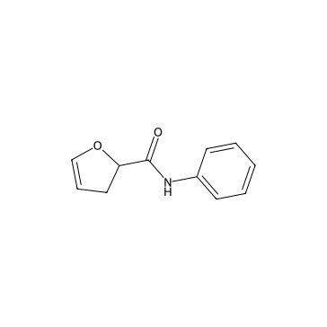 O=C(Nc1ccccc1)C1CC=CO1